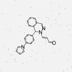 O=CC=CN1N=Cc2ccccc2C1c1ccc(-n2cccc2)cc1